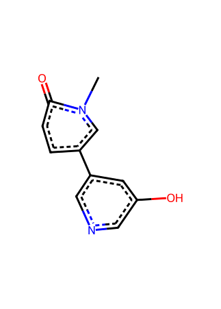 Cn1cc(-c2cncc(O)c2)ccc1=O